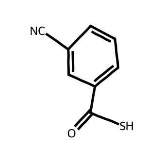 N#Cc1cccc(C(=O)S)c1